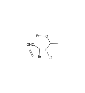 C=C.CCOC(C)OCC.O=CCBr